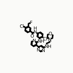 Cc1ccc(NC(=O)c2ccc(Cl)c(CF)c2)cc1Nc1ncccc1-c1cc(NCCN2CCOCC2)ncn1